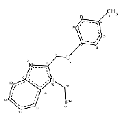 Cc1ccc(OCc2nc3ccccc3n2CC(C)C)cc1